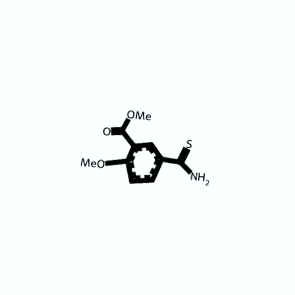 COC(=O)c1cc(C(N)=S)ccc1OC